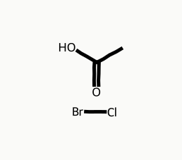 CC(=O)O.ClBr